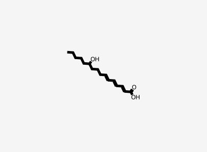 CCCCCC(O)CCCC=CC=CC=CC(=O)O